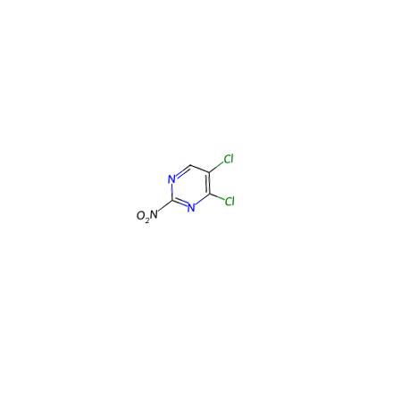 O=[N+]([O-])c1ncc(Cl)c(Cl)n1